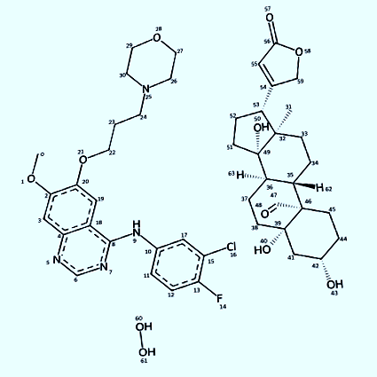 COc1cc2ncnc(Nc3ccc(F)c(Cl)c3)c2cc1OCCCN1CCOCC1.C[C@]12CC[C@H]3[C@@H](CC[C@]4(O)C[C@@H](O)CC[C@]34C=O)[C@@]1(O)CC[C@@H]2C1=CC(=O)OC1.OO